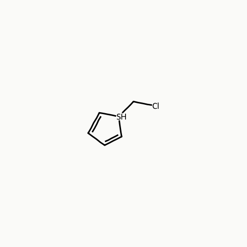 ClC[SH]1C=CC=C1